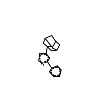 c1ccc(-c2cc(C34CC5CC(CC(C5)C3)C4)ccn2)cc1